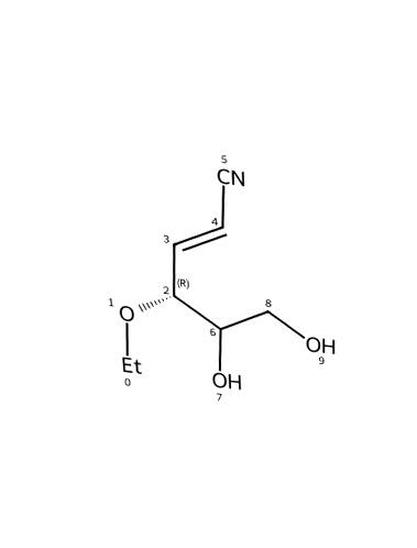 CCO[C@H](C=CC#N)C(O)CO